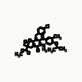 COC(=O)C1(CN2C(=O)N(N)C(Nc3ccc(OC(C)C)c(C)c3)N(Cc3ccc(Cl)cc3)C2=O)COC1